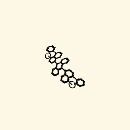 c1ccc2c(c1)Oc1ccc(-c3c4ccccc4c(-c4ccc5c6c(cccc46)Oc4ccccc4-5)c4ccccc34)c3cccc-2c13